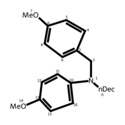 CCCCCCCCCCN(Cc1ccc(OC)cc1)c1ccc(OC)cc1